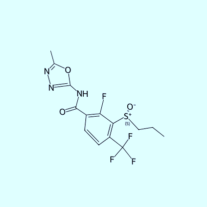 CCC[S@@+]([O-])c1c(C(F)(F)F)ccc(C(=O)Nc2nnc(C)o2)c1F